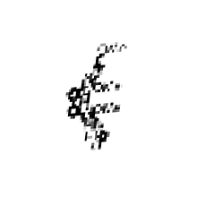 COCCC1CN(Cc2ncc(-c3cccc(-c4cccc(-c5cnc(CNC[C@@H]6CCC(=O)N6)c(OC)n5)c4Cl)c3Cl)nc2OC)C1